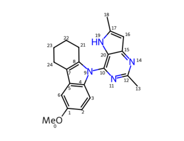 COc1ccc2c(c1)c1c(n2-c2nc(C)nc3cc(C)[nH]c23)CCCC1